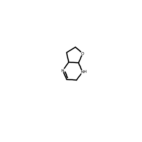 C1=NC2CCOC2NC1